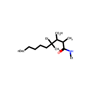 CCCCCCCCCCCCCCC(C)(CC)C(C(=O)O)C(C)C(=O)NCC